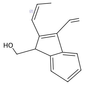 C=CC1=C(/C=C\C)C(CO)c2ccccc21